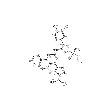 CSC(C)(C)c1cc(NC(=O)NCc2ccccc2Sc2ccc3nnc(C(C)C)n3c2)n(-c2ccc(Cl)c(O)c2)n1